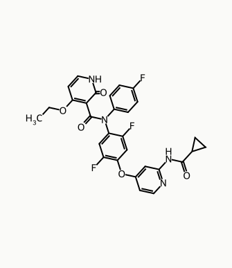 CCOc1cc[nH]c(=O)c1C(=O)N(c1ccc(F)cc1)c1cc(F)c(Oc2ccnc(NC(=O)C3CC3)c2)cc1F